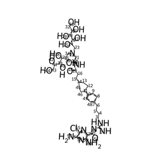 N=C(NCCCCc1ccc(C2CCC(CCC(=O)NCCN(CC(O)C(O)C(O)C(O)CO)CC(O)C(O)C(O)C(O)CO)CC2)cc1)NC(=O)c1nc(Cl)c(N)nc1N